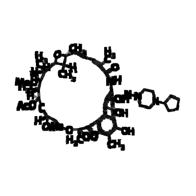 CO[C@H]1[C@@H](C)[C@H](OC(C)=O)C[C@@H](OC)/C=C/O[C@@]2(C)Oc3c(C)c(O)c4c(O)c(c(/C=N/N5CCN(C6CCCC6)CC5)c(O)c4c3C2=O)NC(=O)/C(C)=C\C=C\[C@]2(C)O[C@H]([C@H]1C)[C@H]2C